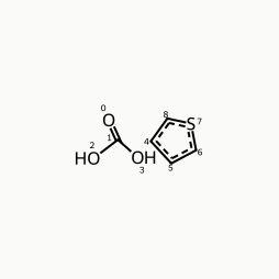 O=C(O)O.c1ccsc1